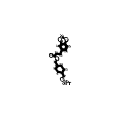 CC(C)OCC1CCC(COC(=O)CCc2ccc3c(c2)OCO3)CC1